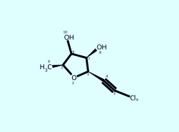 C[C@@H]1O[C@H](C#CCl)[C@H](O)C1O